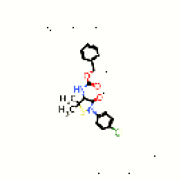 CC1(C)SN(c2ccc(Cl)cc2)C(=O)C1NC(=O)OCc1ccccc1